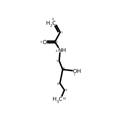 C=CC(=O)NCC(O)CCC